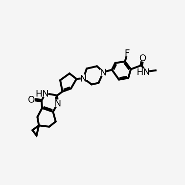 CNC(=O)c1ccc(N2CCN(C3C=C(c4nc5c(c(=O)[nH]4)CC4(CC5)CC4)CC3)CC2)cc1F